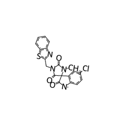 CN1C(=O)N(Cc2nc3ccccc3s2)C(=O)C12C(=O)[N]c1ccc(Cl)cc12